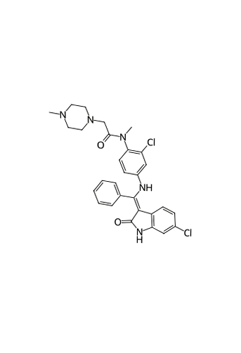 CN1CCN(CC(=O)N(C)c2ccc(NC(=C3C(=O)Nc4cc(Cl)ccc43)c3ccccc3)cc2Cl)CC1